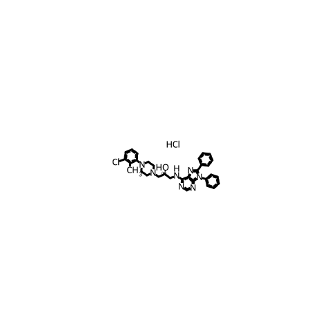 Cc1c(Cl)cccc1N1CCN(C[C@H](O)CNc2ncnc3c2nc(-c2ccccc2)n3-c2ccccc2)CC1.Cl